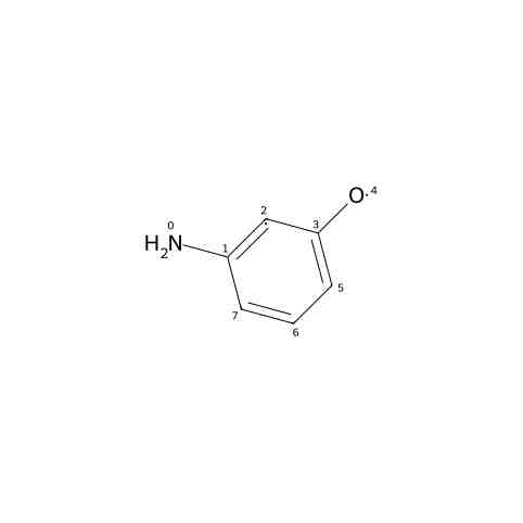 Nc1[c]c([O])ccc1